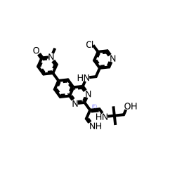 Cn1cc(-c2ccc3nc(/C(C=N)=C/NC(C)(C)CO)nc(NCc4cncc(Cl)c4)c3c2)ccc1=O